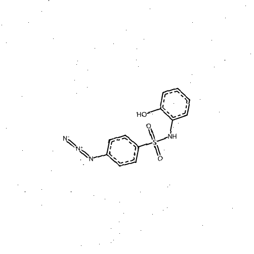 [N-]=[N+]=Nc1ccc(S(=O)(=O)Nc2ccccc2O)cc1